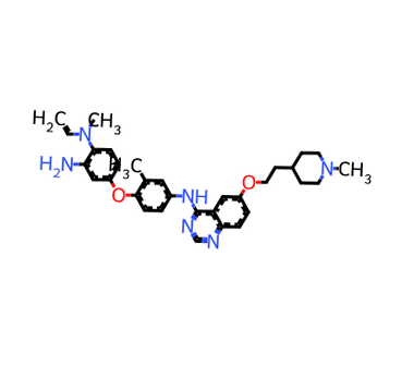 C=CN(C)c1ccc(Oc2ccc(Nc3ncnc4ccc(OCCC5CCN(C)CC5)cc34)cc2C)cc1N